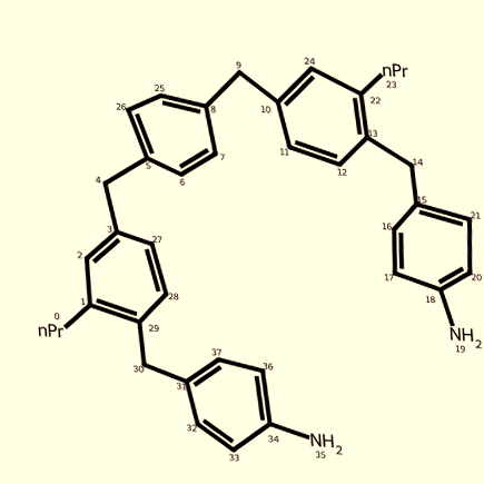 CCCc1cc(Cc2ccc(Cc3ccc(Cc4ccc(N)cc4)c(CCC)c3)cc2)ccc1Cc1ccc(N)cc1